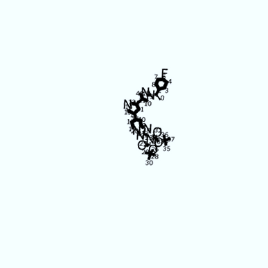 C[C@H](c1ccc(F)cc1)n1cc(-c2cncc(-c3ccn4nc(N(C(=O)OC(C)(C)C)C(=O)OC(C)(C)C)nc4c3)c2)cn1